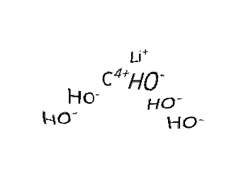 [C+4].[Li+].[OH-].[OH-].[OH-].[OH-].[OH-]